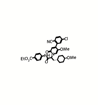 CCOC(=O)c1ccc(NC(=O)C(C[C@H]2CC[C@H](OC)CC2)n2cc(OC)c(-c3cc(Cl)ccc3C#N)cc2=O)cc1